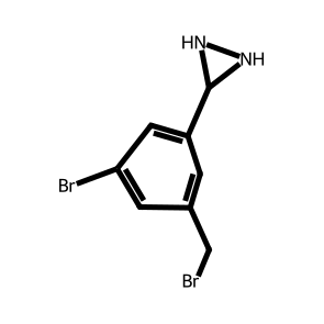 BrCc1cc(Br)cc(C2NN2)c1